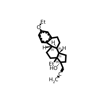 C=C=C[C@]1(O)CC[C@H]2[C@@H]3CCc4cc(OCC)ccc4[C@H]3CCC21CC